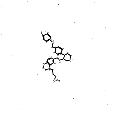 COCCCN1CCOc2ccc(COC3CNCCC3c3ccc(COc4ccc(F)cc4)cc3)cc21